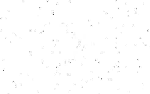 CCOC[C@@H](O)CCP(=O)(O)OCC[N+](C)(C)C